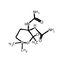 CC1(C)O[Si](C)(C)CCC1(NC(N)=O)NC(N)=O